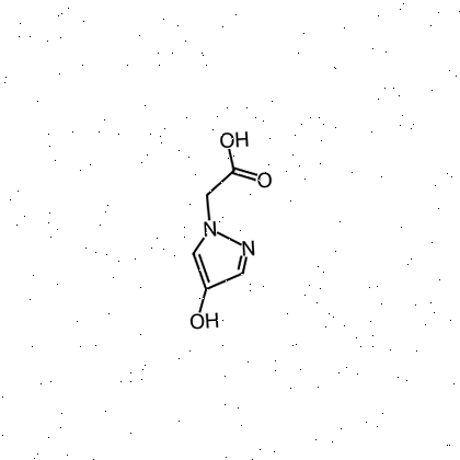 O=C(O)Cn1cc(O)cn1